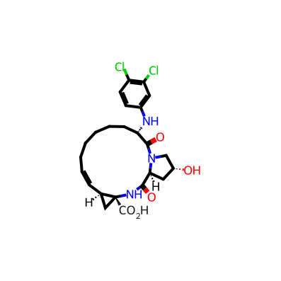 O=C1N[C@]2(C(=O)O)C[C@H]2/C=C\CCCCC[C@H](Nc2ccc(Cl)c(Cl)c2)C(=O)N2C[C@H](O)C[C@@H]12